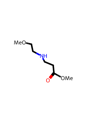 COCCNCCC(=O)OC